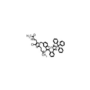 CCCCc1nc(Cl)c(CNC(C)=O)n1Cc1ccc2oc(-c3ccccc3-c3nnn(C(c4ccccc4)(c4ccccc4)c4ccccc4)n3)c(Br)c2c1